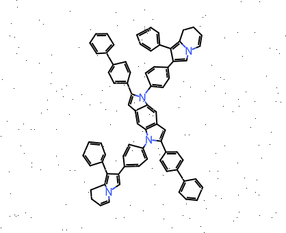 C1=Cn2cc(-c3ccc(-n4c(-c5ccc(-c6ccccc6)cc5)cc5cc6c(cc(-c7ccc(-c8ccccc8)cc7)n6-c6ccc(-c7cn8c(c7-c7ccccc7)CCC=C8)cc6)cc54)cc3)c(-c3ccccc3)c2CC1